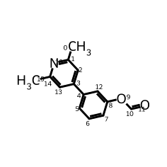 Cc1cc(-c2cccc(OC=O)c2)cc(C)n1